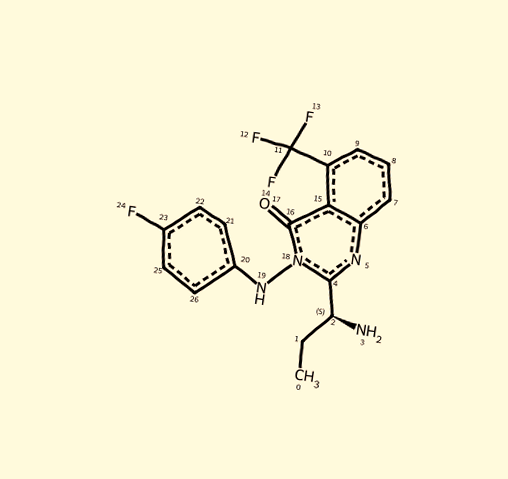 CC[C@H](N)c1nc2cccc(C(F)(F)F)c2c(=O)n1Nc1ccc(F)cc1